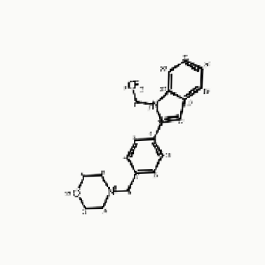 FC(F)(F)Cn1c(-c2ccc(CN3CCOCC3)cc2)cc2ccccc21